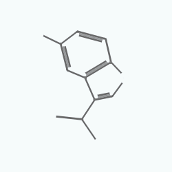 Cc1ccc2occ(C(C)C)c2c1